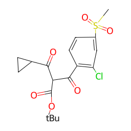 CC(C)(C)OC(=O)C(C(=O)c1ccc(S(C)(=O)=O)cc1Cl)C(=O)C1CC1